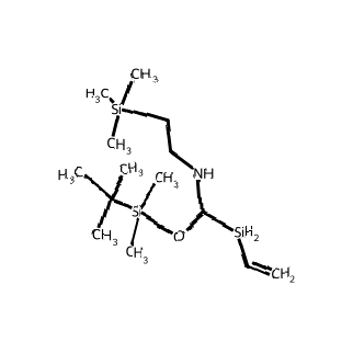 C=C[SiH2]C(NCC[Si](C)(C)C)O[Si](C)(C)C(C)(C)C